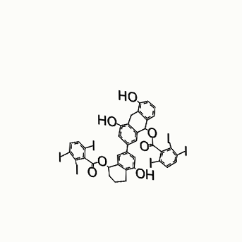 O=C(OC1CCCc2c(O)cc(-c3cc(O)c4c(c3)C(OC(=O)c3c(I)ccc(I)c3I)c3cccc(O)c3C4)cc21)c1c(I)ccc(I)c1I